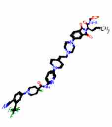 CCCC(C(=O)NC=O)N1C(=O)c2ccc(N3CCN(CCC4CCN(c5ccc(NC(=O)C6(F)CCN(c7ccc(C#N)c(C(F)(F)F)c7)CC6)nc5)CC4)CC3)cc2C1=O